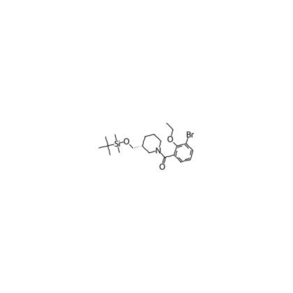 CCOc1c(Br)cccc1C(=O)N1CCC[C@@H](CO[Si](C)(C)C(C)(C)C)C1